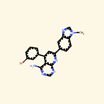 Cn1cnc2cc(-c3cc(-c4cccc(Br)c4)c4c(N)ncnc4n3)ccc21